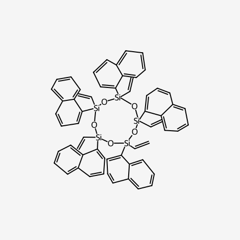 C=C[Si]1(c2cccc3ccccc23)O[Si](C=C)(c2cccc3ccccc23)O[Si](C=C)(c2cccc3ccccc23)O[Si](C=C)(c2cccc3ccccc23)O[Si](C=C)(c2cccc3ccccc23)O1